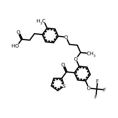 Cc1cc(OCCC(C)Oc2ccc(OC(F)(F)F)cc2C(=O)c2cccs2)ccc1CCC(=O)O